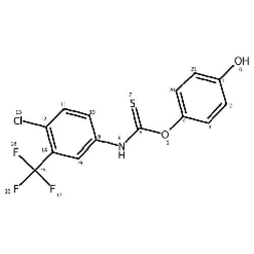 Oc1ccc(OC(=S)Nc2ccc(Cl)c(C(F)(F)F)c2)cc1